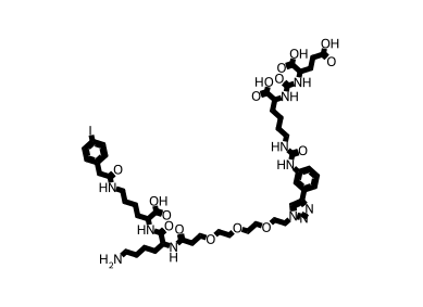 NCCCCC(NC(=O)CCOCCOCCOCCn1cc(-c2cccc(NC(=O)NCCCCC(NC(=O)NC(CCC(=O)O)C(=O)O)C(=O)O)c2)nn1)C(=O)NC(CCCCNC(=O)Cc1ccc(I)cc1)C(=O)O